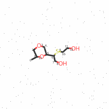 CC1COCC(C(CO)SCCO)O1